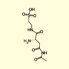 CC(=O)NC(=O)C[C@H](N)C(=O)NCCS(=O)(=O)O